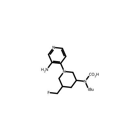 CC(C)(C)N(C(=O)O)C1CC(CF)CN(c2ccncc2N)C1